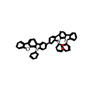 c1ccc(-n2c3ccc(-c4ccc5c6ccc7c8ccccc8n(-c8ccccc8)c7c6n(-c6ccccc6)c5c4)cc3c3ccc4c5ccccc5oc4c32)cc1